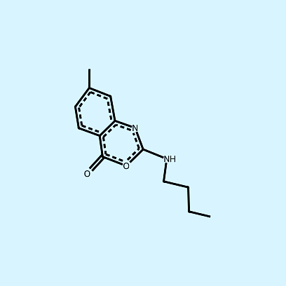 CCCCNc1nc2cc(C)ccc2c(=O)o1